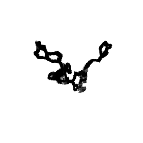 CC(CNCCc1ccoc1)NS(=O)(=O)c1ccc2cnccc2c1